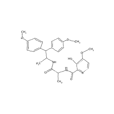 COc1ccc(C(c2ccc(OC)cc2)C(C)NC(=O)C(C)NC(=O)c2nccc(OC)c2O)cc1